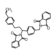 C=Cc1ccc(CCC(c2ccc(CN3C(=O)c4ccccc4C3=O)cc2)N2C(=O)c3ccccc3C2=O)cc1